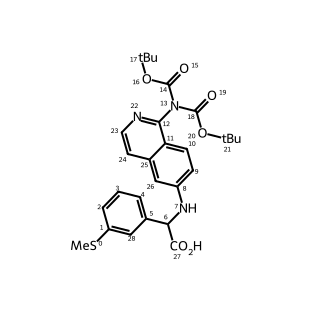 CSc1cccc(C(Nc2ccc3c(N(C(=O)OC(C)(C)C)C(=O)OC(C)(C)C)nccc3c2)C(=O)O)c1